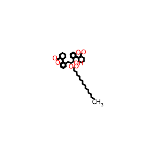 CCCCCCCCCCCCCCCC(=O)OC(Cc1cccc2oc(=O)c3c(c12)CCCC3)C(O)c1cccc2oc(=O)c3c(c12)CCCC3